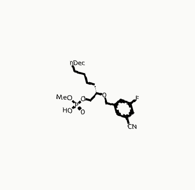 CCCCCCCCCCCCCC[C@@H](COP(=O)(O)OC)OCc1cc(F)cc(C#N)c1